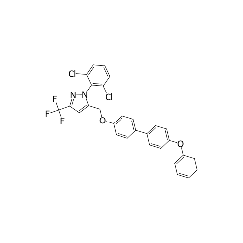 FC(F)(F)c1cc(COc2ccc(-c3ccc(OC4=CC=CCC4)cc3)cc2)n(-c2c(Cl)cccc2Cl)n1